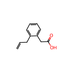 C=CCc1ccccc1CC(=O)O